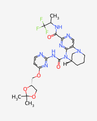 CC(NC(=O)c1ncc2c(n1)N(C(=O)Nc1nccc(OC[C@@H]3COC(C)(C)O3)n1)[C@H]1CCCN2C1)C(F)(F)F